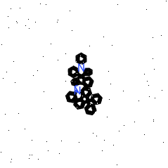 c1ccc(N2c3ccccc3C3(c4ccccc4-c4c(N(c5ccccc5)c5cccc6c5-c5ccccc5C6(c5ccccc5)c5ccccc5)cccc43)c3ccccc32)cc1